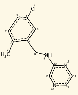 Cc1ccc(Cl)cc1CNc1cnccn1